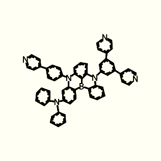 c1ccc(N(c2ccccc2)c2ccc3c(c2)N(c2ccc(-c4ccncc4)cc2)c2cccc4c2B3c2ccccc2N4c2cc(-c3ccncc3)cc(-c3ccncc3)c2)cc1